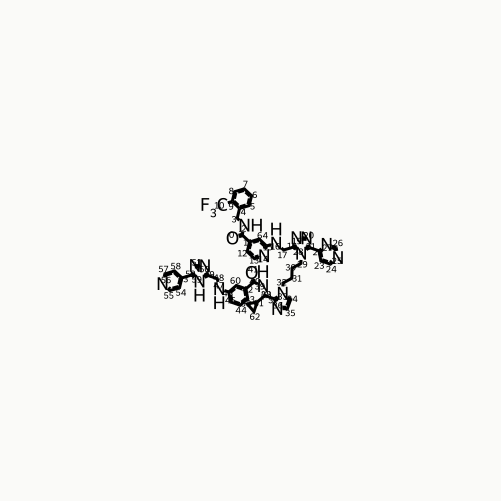 O=C(NCc1ccccc1C(F)(F)F)c1ccnc(NCc2nnc(-c3ccncn3)n2CCCCn2ccnc2[C@@H](NC(=O)c2cccc(NCc3nnc(-c4ccncc4)[nH]3)c2)C2CC2)c1